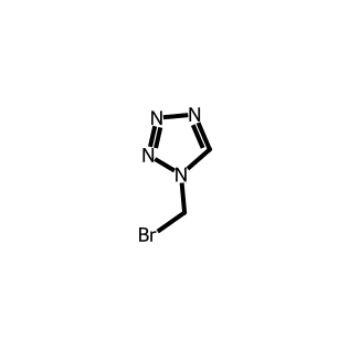 BrCn1cnnn1